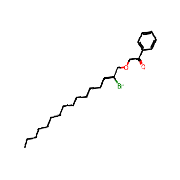 CCCCCCCCCCCCCCC(Br)COCC(=O)c1ccccc1